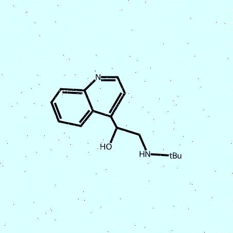 CC(C)(C)NCC(O)c1ccnc2ccccc12